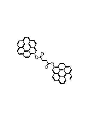 O=C(CCC(=O)Oc1cc2ccc3ccc4ccc5ccc6ccc1c1c6c5c4c3c21)Oc1cc2ccc3ccc4ccc5ccc6ccc1c1c6c5c4c3c21